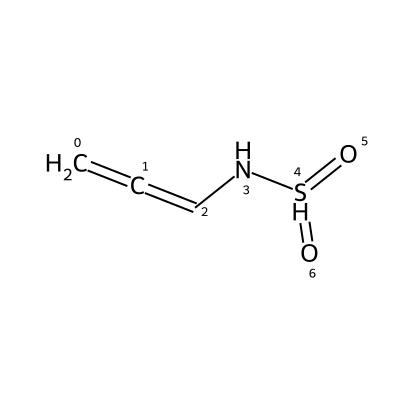 C=C=CN[SH](=O)=O